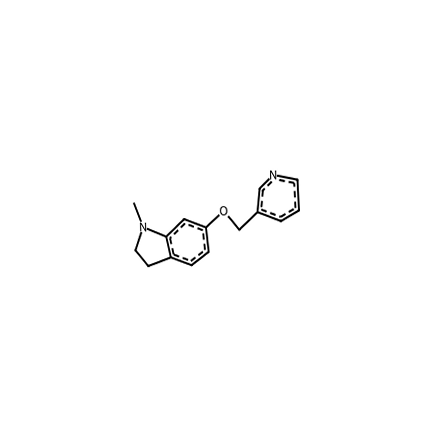 CN1CCc2ccc(OCc3cccnc3)cc21